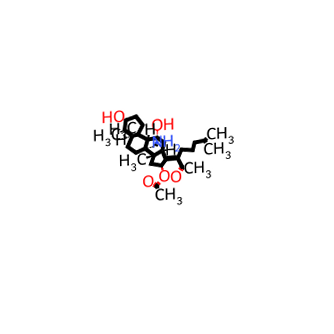 CC(=O)O[C@H]1C[C@@]2(C)[C@@H](C[C@@H](O)[C@H]3[C@@]4(C)CC[C@@H](O)[C@@H](C)[C@@H]4CC[C@@]32CN)/C1=C(\CCCC(C)C)C(C)=O